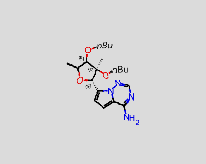 CCCCO[C@@H]1C(C)O[C@@H](c2ccc3c(N)ncnn23)[C@]1(C)OCCCC